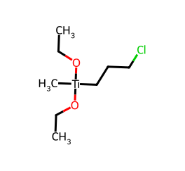 CC[O][Ti]([CH3])([CH2]CCCl)[O]CC